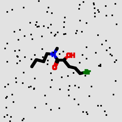 CCCCN(C)C(=O)C(O)CCCBr